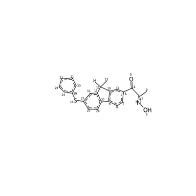 CC(=NO)C(=O)c1ccc2c(c1)C(C)(C)c1cc(Sc3ccccc3)ccc1-2